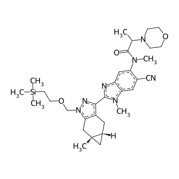 CC(C(=O)N(C)c1cc2nc(-c3nn(COCC[Si](C)(C)C)c4c3C[C@@H]3C[C@]3(C)C4)n(C)c2cc1C#N)N1CCOCC1